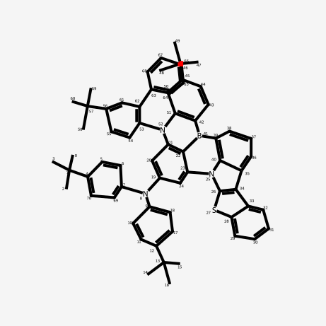 CC(C)(C)c1ccc(N(c2ccc(C(C)(C)C)cc2)c2cc3c4c(c2)-n2c5sc6ccccc6c5c5cccc(c52)B4c2ccc(C(C)(C)C)cc2N3c2ccc(C(C)(C)C)cc2-c2ccccc2)cc1